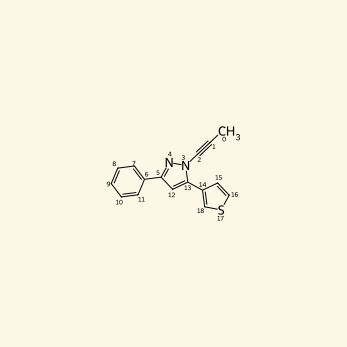 CC#Cn1nc(-c2ccccc2)cc1-c1ccsc1